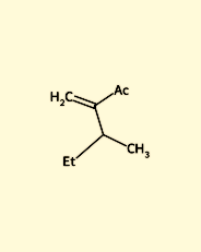 C=C(C(C)=O)C(C)CC